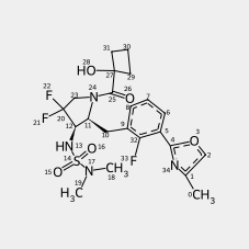 Cc1coc(-c2cccc(C[C@H]3[C@@H](NS(=O)(=O)N(C)C)C(F)(F)CN3C(=O)C3(O)CCC3)c2F)n1